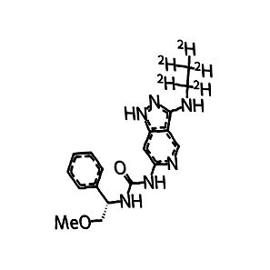 [2H]C([2H])([2H])C([2H])([2H])Nc1n[nH]c2cc(NC(=O)N[C@H](COC)c3ccccc3)ncc12